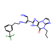 CCCn1c(=O)c2[nH]c(/C(C=N)=C/NCCc3cccc(C(F)(F)F)c3)nc2n2ccnc12